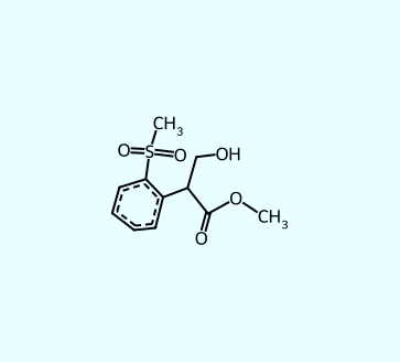 COC(=O)C(CO)c1ccccc1S(C)(=O)=O